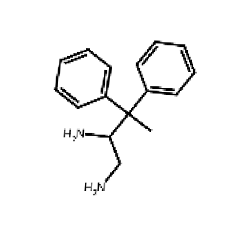 CC(c1ccccc1)(c1ccccc1)C(N)CN